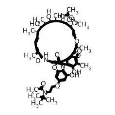 CO[C@H]1/C=C/O[C@@]2(C)Oc3c(C)c(O)c4c(=O)c(c5oc6cc(OCCN(C(C)=O)C(C)(C)C)cc(O)c6nc-5c4c3C2=O)NC(=O)/C(C)=C\C=C\[C@H](C)[C@H](O)[C@@H](C)[C@@H](O)[C@@H](C)[C@H](OC(C)=O)[C@@H]1C